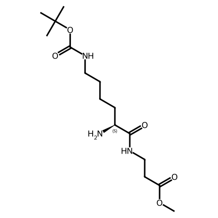 COC(=O)CCNC(=O)[C@@H](N)CCCCNC(=O)OC(C)(C)C